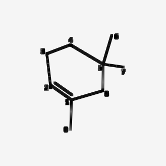 CC1=[C]CCC(C)(C)C1